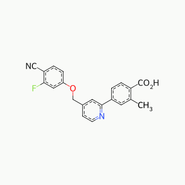 Cc1cc(-c2cc(COc3ccc(C#N)c(F)c3)ccn2)ccc1C(=O)O